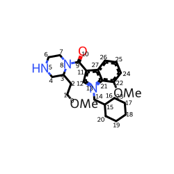 COCCC1CNCCN1C(=O)c1cn(CC2CCCCC2)c2c(OC)cccc12